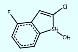 O[SH]1C(Cl)=Cc2c(F)cccc21